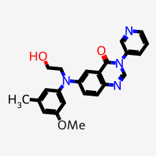 COc1cc(C)cc(N(CCO)c2ccc3ncn(-c4cccnc4)c(=O)c3c2)c1